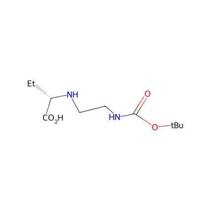 CC[C@H](NCCNC(=O)OC(C)(C)C)C(=O)O